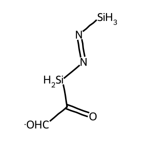 O=[C]C(=O)[SiH2]N=N[SiH3]